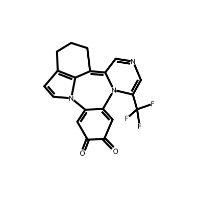 O=c1cc2n3ccc4c3c(c3cncc(C(F)(F)F)n3c-2cc1=O)CCC4